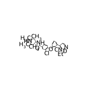 CCOc1cc(-c2cccc(Oc3ccc(C(=O)NC4CC(C)(C)NC(C)(C)C4)cc3Cl)c2C#N)ccn1